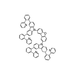 C1=CC(c2ccccc2-c2ccccn2)Cc2c1n(-c1ccc3oc4ccc(-n5c6ccc(-c7ccccc7-c7ccccn7)cc6c6cc(-c7ccccc7-c7ccccn7)ccc65)cc4c3c1)c1ccc(-c3ccccc3-c3ccccn3)cc21